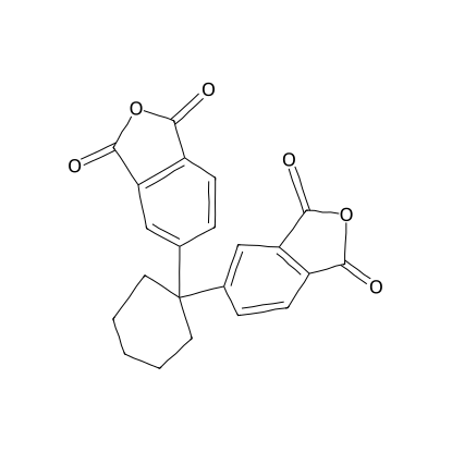 O=C1OC(=O)c2cc(C3(c4ccc5c(c4)C(=O)OC5=O)CCCCC3)ccc21